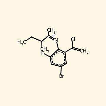 C=C(Cl)c1cc(Br)cc(F)c1/N=C(/C)C(C)CC